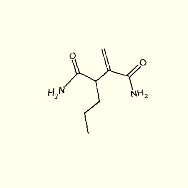 C=C(C(N)=O)C(CCC)C(N)=O